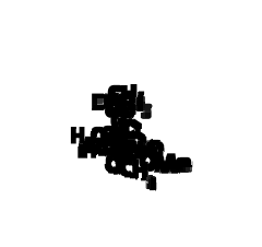 CCC(C)(C)OC(=O)Oc1ccc(C[C@H](NCC(C)OC(=O)CCC(C)C)C(=O)OC)cc1OC(=O)OC(C)(C)CC